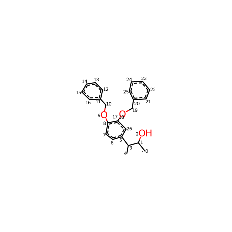 [CH2]C(O)C(C)c1ccc(OCc2ccccc2)c(OCc2ccccc2)c1